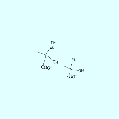 CCC(C)(O)C(=O)[O-].CCC(C)(O)C(=O)[O-].[Ti+2]